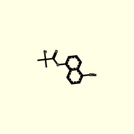 CCC(C)(C)C(=O)Oc1cccc2c(OC)cccc12